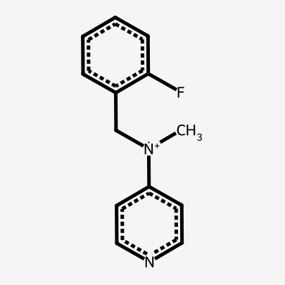 C[N+](Cc1ccccc1F)c1ccncc1